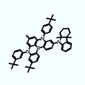 Cc1cc2c3c(c1)N(c1cccc(C(C)(C)C)c1)c1cc(C(C)(C)C)ccc1B3c1ccc(N3c4ccccc4C4(C)CCCCC34C)cc1N2c1ccc(C(C)(C)C)cc1